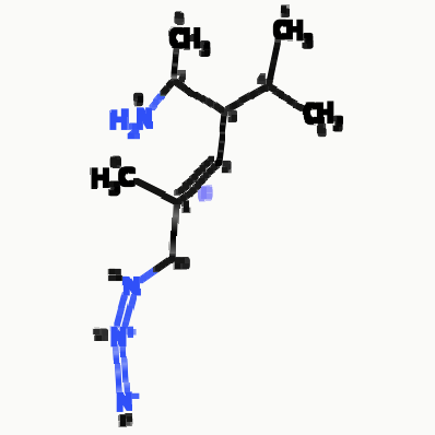 C/C(=C\C(C(C)C)C(C)N)CN=[N+]=[N-]